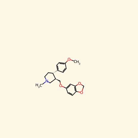 COc1ccc([C@H]2CCN(C)C[C@@H]2COc2ccc3c(c2)OCO3)cc1